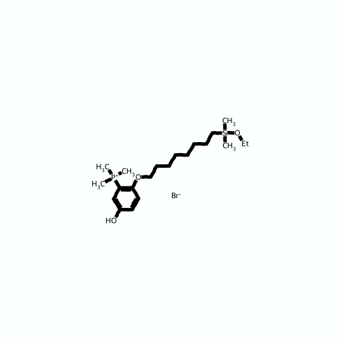 CCO[Si](C)(C)CCCCCCCCOc1ccc(O)cc1[P+](C)(C)C.[Br-]